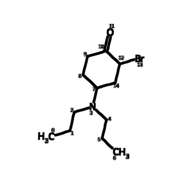 CCCN(CCC)C1CCC(=O)C(Br)C1